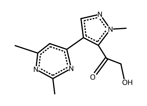 Cc1cc(-c2cnn(C)c2C(=O)CO)nc(C)n1